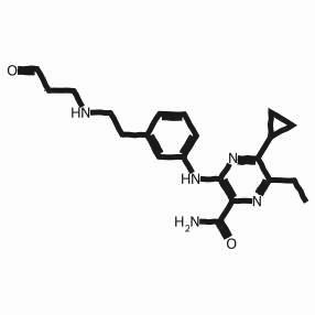 CCc1nc(C(N)=O)c(Nc2cccc(CCNC[CH]C=O)c2)nc1C1CC1